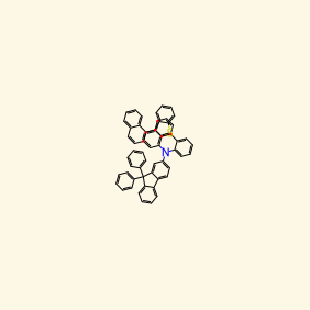 c1ccc(C2(c3ccccc3)c3ccccc3-c3ccc(N(c4ccccc4-c4cccc(-c5cccc6ccccc56)c4)c4cccc5c4sc4ccccc45)cc32)cc1